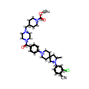 CC1CC2(CCN(c3ccc(C(=O)N4CCN(CC5CCN(C(=O)OC(C)(C)C)CC5)CC4)cc3)CC2)CN1c1ccc(C#N)c(Cl)c1